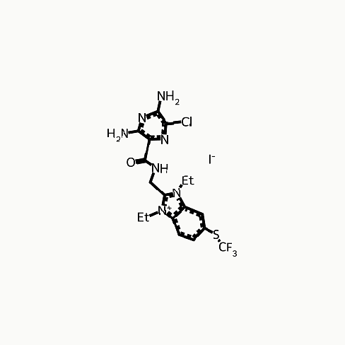 CCn1c(CNC(=O)c2nc(Cl)c(N)nc2N)[n+](CC)c2ccc(SC(F)(F)F)cc21.[I-]